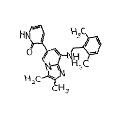 Cc1cccc(C)c1CNc1cc(-c2ccc[nH]c2=O)cn2c(C)c(C)nc12